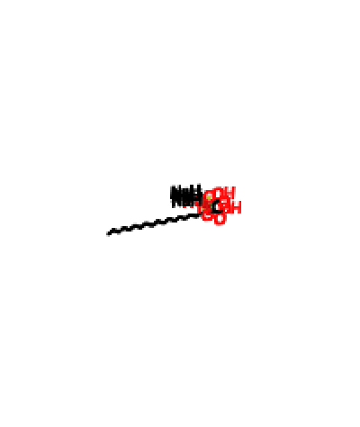 CCCCCCCCCCCCCCCCCCOC(C(=O)O)C(C(=O)O)S(=O)(=O)O.[NaH].[NaH].[NaH]